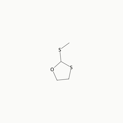 CSC1OCCS1